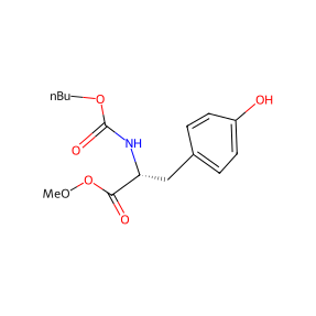 CCCCOC(=O)N[C@H](Cc1ccc(O)cc1)C(=O)OOC